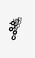 CCNC(=O)N1C(=O)C(=C(c2ccccc2)N(C)c2ccc(N3CCCCC3)cc2)c2cc(C)ccc21